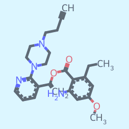 C#CCCN1CCN(c2ncccc2C(=C)OC(=O)c2c(N)cc(OC)cc2CC)CC1